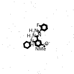 CN[S+]([O-])c1ccc(NC2CCCCC2)c(/C(N)=N/N(N)c2ccccc2F)c1